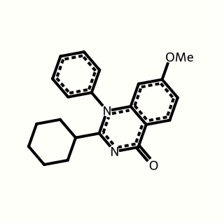 COc1ccc2c(=O)nc(C3CCCCC3)n(-c3ccccc3)c2c1